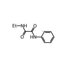 CCNC(=O)C(=O)Nc1[c]cccc1